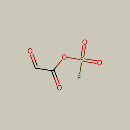 O=CC(=O)OS(=O)(=O)F